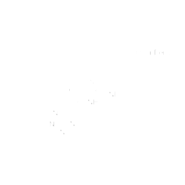 CCCCCOc1ccc(NC(=S)NC(=O)c2nnnn2Cc2ccccc2)cc1